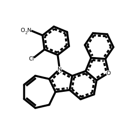 O=[N+]([O-])c1cccc(-n2c3c(c4ccc5oc6ccccc6c5c42)CC=CC=C3)c1Cl